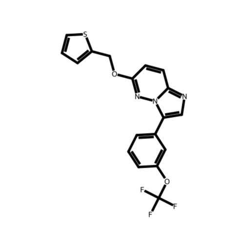 FC(F)(F)Oc1cccc(-c2cnc3ccc(OCc4cccs4)nn23)c1